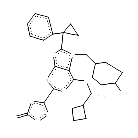 CC1CCC(Cn2c(C3(c4ccccc4)CC3)nc3nc(-c4noc(=O)[nH]4)nc(N[C@H](C)C4CCC4)c32)CC1